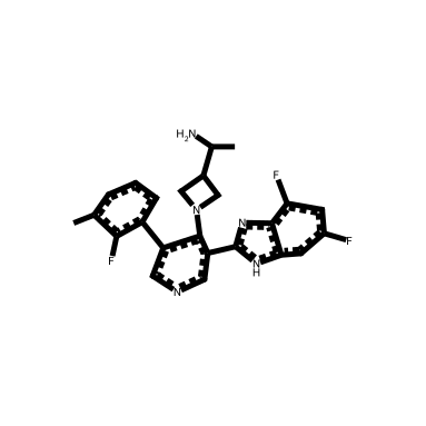 Cc1cccc(-c2cncc(-c3nc4c(F)cc(F)cc4[nH]3)c2N2CC(C(C)N)C2)c1F